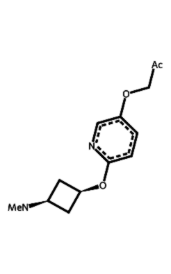 CN[C@H]1C[C@@H](Oc2ccc(OCC(C)=O)cn2)C1